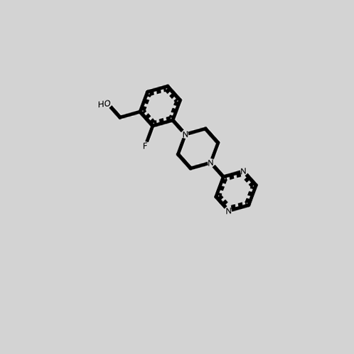 OCc1cccc(N2CCN(c3cnccn3)CC2)c1F